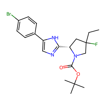 CCC1(F)C[C@@H](c2ncc(-c3ccc(Br)cc3)[nH]2)N(C(=O)OC(C)(C)C)C1